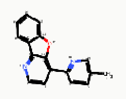 Cc1ccc(-c2ccnc3c2oc2ccccc23)nc1